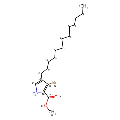 CCCCCCCCCCCCCc1c[nH]c(C(=O)OC)c1Br